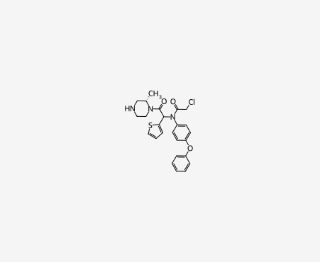 C[C@H]1CNCCN1C(=O)C(c1cccs1)N(C(=O)CCl)c1ccc(Oc2ccccc2)cc1